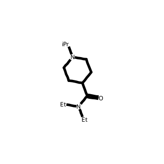 CCN(CC)C(=O)C1CCN(C(C)C)CC1